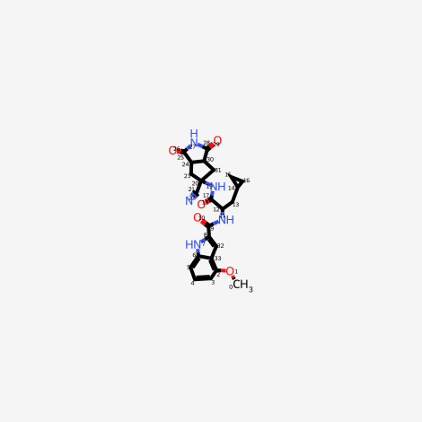 COc1cccc2[nH]c(C(=O)NC(CC3CC3)C(=O)NC3(C#N)CC4C(=O)NC(=O)C4C3)cc12